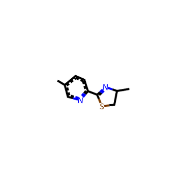 Cc1ccc(C2=NC(C)CS2)nc1